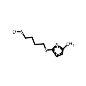 CCSCCCCSc1ccc(C)s1